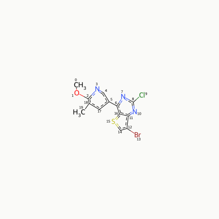 COc1ncc(-c2nc(Cl)nc3c(Br)csc23)cc1C